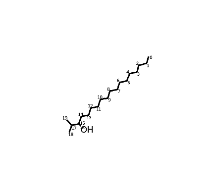 CCCCCCCCCCCCCCCC(O)C(C)C